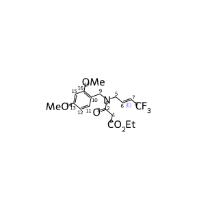 CCOC(=O)CC(=O)N(C/C=C/C(F)(F)F)Cc1ccc(OC)cc1OC